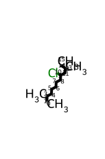 CCC(C)CCCCCC(Cl)CC(C)CC